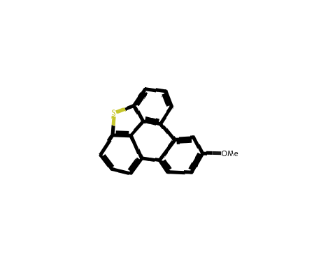 COc1ccc2c(c1)c1cccc3sc4cccc2c4c31